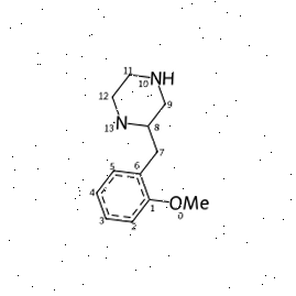 COc1ccccc1CC1CNCC[N]1